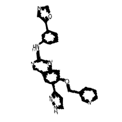 c1cncc(COc2cc3nc(Nc4cccc(-c5cnco5)c4)ncc3cc2-c2cc[nH]n2)c1